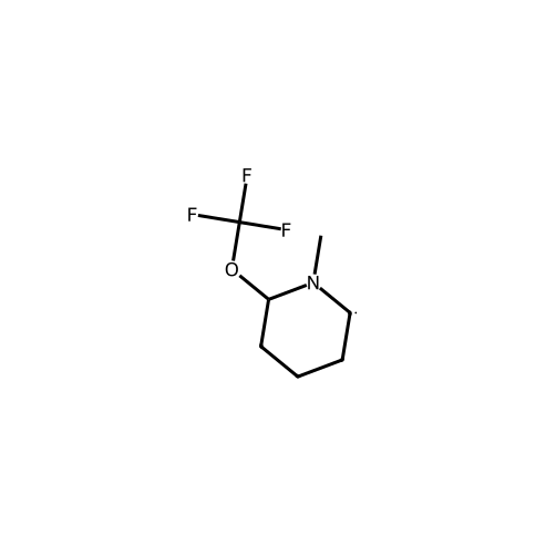 CN1[CH]CCCC1OC(F)(F)F